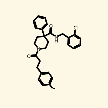 O=C(CCc1ccc(F)cc1)N1CCC(C(=O)NCc2ccccc2Cl)(c2ccccc2)CC1